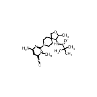 C[C@@H]1OCC2(CCN(C3=NC(N)=CC(=C=O)N3C)CC2)[C@@H]1N[S@+]([O-])C(C)(C)C